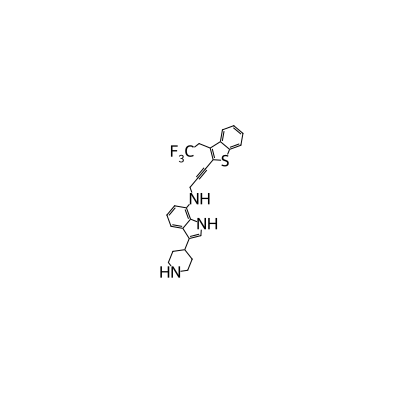 FC(F)(F)Cc1c(C#CCNc2cccc3c(C4CCNCC4)c[nH]c23)sc2ccccc12